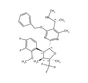 CN[C@H](C)c1c(C)nc([C@@H]2O[C@@](C)(C(F)(F)F)[C@@H](C)[C@H]2c2ccc(F)c(F)c2OC)nc1OCc1ccccc1